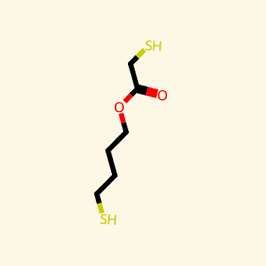 O=C(CS)OCCCCS